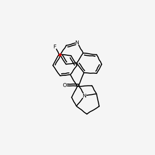 O=C(c1cccc2ncccc12)N1C2CCC1CC(c1ccc(F)cc1)C2